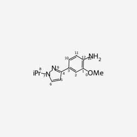 COc1cc(-c2ccn(C(C)C)n2)ccc1N